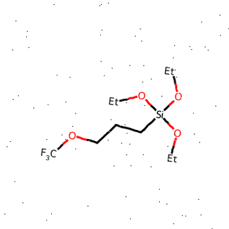 CCO[Si](CCCOC(F)(F)F)(OCC)OCC